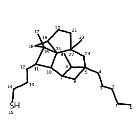 CCCCCC12CC(C1C)C1C(CCCS)C3(C)CC4CCC(C)(C2)C413